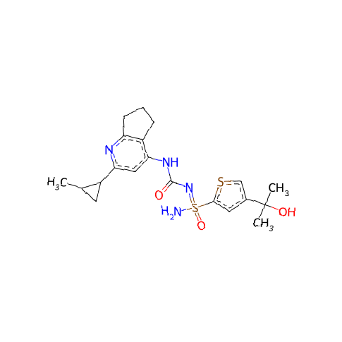 CC1CC1c1cc(NC(=O)N=S(N)(=O)c2cc(C(C)(C)O)cs2)c2c(n1)CCC2